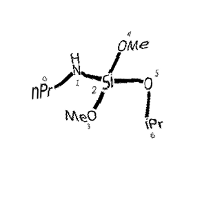 CCCN[Si](OC)(OC)OC(C)C